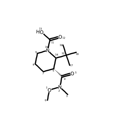 CON(C)C(=O)[C@@H]1CCCN(C(=O)O)C1C(C)(C)C